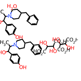 CC(C(O)c1ccc(O)cc1)N1CCC(Cc2ccccc2)CC1.CC(C(O)c1ccc(O)cc1)N1CCC(Cc2ccccc2)CC1.O.O=C(O)C(O)C(O)C(=O)O.O=C(O)C(O)C(O)C(=O)O